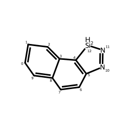 c1ccc2c3c(ccc2c1)N=N[SiH2]3